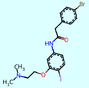 CN(C)CCOc1cc(NC(=O)Cc2ccc(Br)cc2)ccc1I